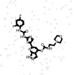 O=C(Nc1ncc(-c2cc(OC(=O)NCCN3CCOCC3)c3cn[nH]c3n2)s1)Nc1ccc(F)cc1F